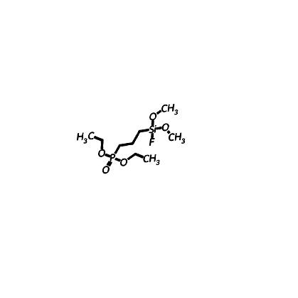 CCOP(=O)(CCC[Si](F)(OC)OC)OCC